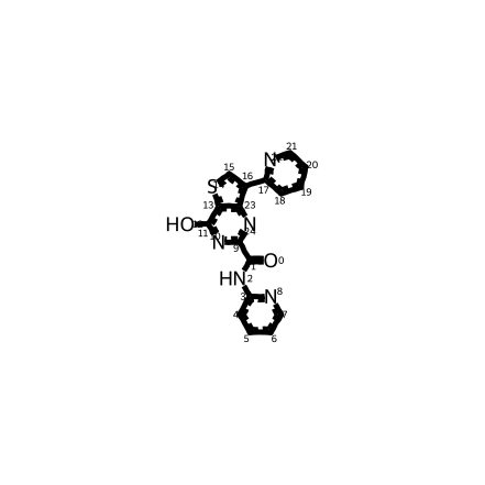 O=C(Nc1ccccn1)c1nc(O)c2scc(-c3ccccn3)c2n1